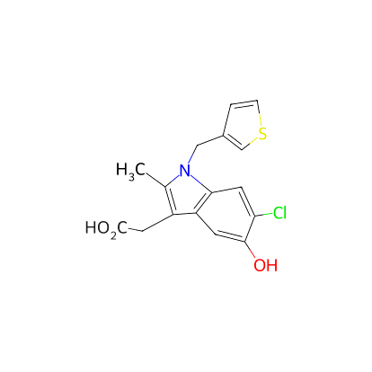 Cc1c(CC(=O)O)c2cc(O)c(Cl)cc2n1Cc1ccsc1